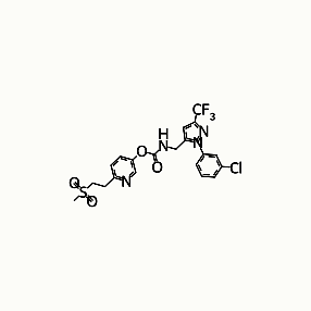 CS(=O)(=O)CCc1ccc(OC(=O)NCc2cc(C(F)(F)F)nn2-c2cccc(Cl)c2)cn1